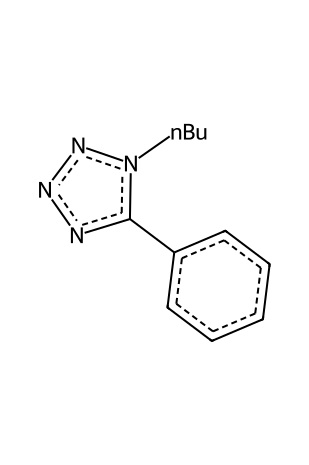 CCCCn1nnnc1-c1ccccc1